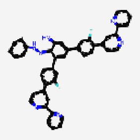 N=C1C=C(c2ccc(-c3ccnc(-c4ccccn4)c3)c(F)c2)C=C(c2ccc(-c3ccnc(-c4ccccn4)c3)c(F)c2)/C1=N/Nc1ccccc1